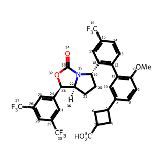 COc1ccc(C2CC(C(=O)O)C2)cc1-c1ccc(C(F)(F)F)cc1[C@@H]1CC[C@H]2[C@@H](c3cc(C(F)(F)F)cc(C(F)(F)F)c3)OC(=O)N12